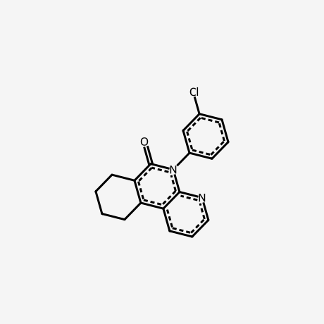 O=c1c2c(c3cccnc3n1-c1cccc(Cl)c1)CCCC2